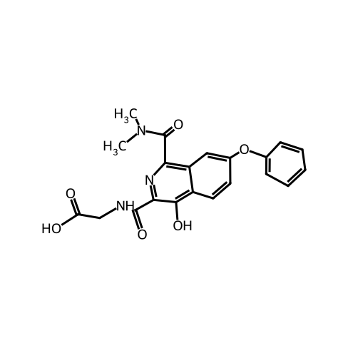 CN(C)C(=O)c1nc(C(=O)NCC(=O)O)c(O)c2ccc(Oc3ccccc3)cc12